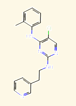 Cc1ccccc1Nc1nc(NCCc2cccnc2)ncc1Cl